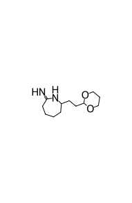 N=C1CCCCC(CCC2OCCCO2)N1